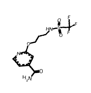 NC(=O)c1ccnc(OCCCNS(=O)(=O)C(F)(F)F)c1